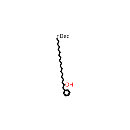 CCCCCCCCCCCCCCCCCCCCCCCCCCCC(O)Cc1ccccc1